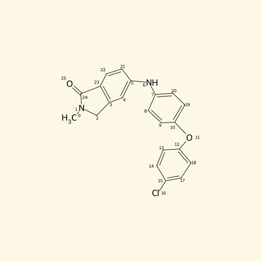 CN1Cc2cc(Nc3ccc(Oc4ccc(Cl)cc4)cc3)ccc2C1=O